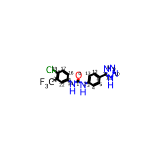 O=C(Nc1ccc(-c2nnn[nH]2)cc1)Nc1ccc(Cl)c(C(F)(F)F)c1